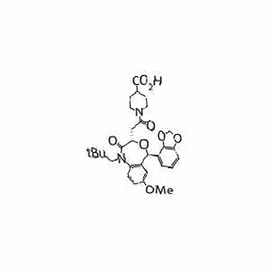 COc1ccc2c(c1)[C@H](c1cccc3c1OCO3)O[C@@H](CC(=O)N1CCC(C(=O)O)CC1)C(=O)N2CC(C)(C)C